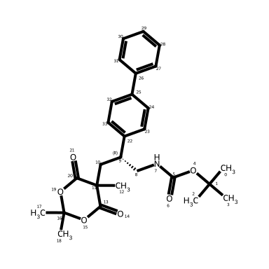 CC(C)(C)OC(=O)NC[C@H](CC1(C)C(=O)OC(C)(C)OC1=O)c1ccc(-c2ccccc2)cc1